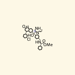 C=CN(C)/C(=C\N)C(O)(c1ccc(CNC(C(=O)OC)c2ccccc2)cc1)c1ccc2c(c1)c(-c1cccc(Cl)c1)cc(=O)n2C